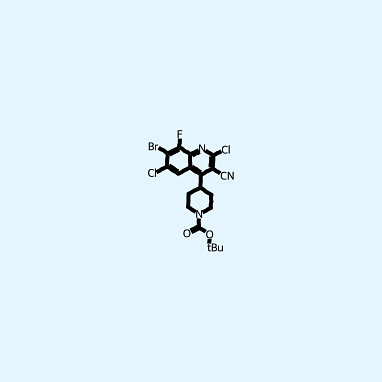 CC(C)(C)OC(=O)N1CCC(c2c(C#N)c(Cl)nc3c(F)c(Br)c(Cl)cc23)CC1